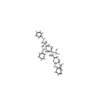 CNC(=O)N(CC(=O)N[C@H](C(=O)N[C@@H](Cc1ccccc1)C(=O)C(F)(F)CCc1ccccc1)C(C)C)Cc1ccncc1